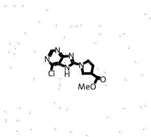 COC(=O)C1CCN(c2nc3ncnc(Cl)c3[nH]2)C1